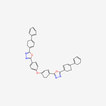 C1=CCCC(C2=CC=C(c3nnc(C4=CC=C(Oc5ccc(-c6nnc(C7=CC=C(c8ccccc8)CC7)o6)cc5)CC4)o3)CC2)=C1